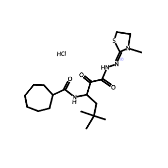 CN1CCS/C1=N\NC(=O)C(=O)C(CC(C)(C)C)NC(=O)C1CCCCCC1.Cl